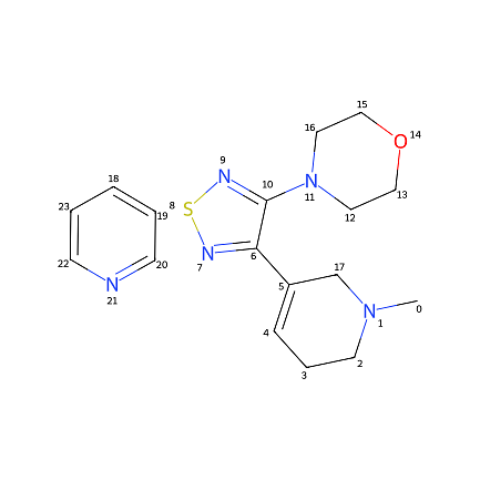 CN1CCC=C(c2nsnc2N2CCOCC2)C1.c1ccncc1